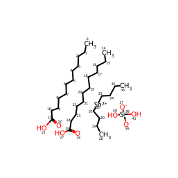 CCCCCCCCCCCC(=O)O.CCCCCCCCCCCC(=O)O.CCC[CH2][Sn+2][CH2]CCC.[O-][Si]([O-])(O)O